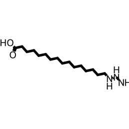 NNNCCCCCCCCCCCCCCCC(=O)O